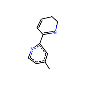 Cc1ccnc(C2=NCCC=C2)c1